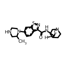 CC1CNCCN1c1ccc2c(C(=O)N[C@@H]3CN4CCC3CC4)nsc2c1